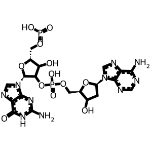 Nc1nc2c(ncn2[C@@H]2O[C@H](CO[PH](=O)O)C(O)C2OP(=O)(O)OC[C@H]2O[C@@H](n3cnc4c(N)ncnc43)CC2O)c(=O)[nH]1